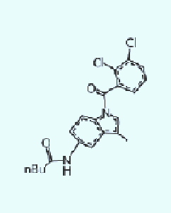 CCCCC(=O)Nc1ccc2c(c1)c(C)cn2C(=O)c1cccc(Cl)c1Cl